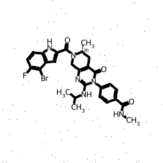 CNC(=O)c1ccc(-n2c(NC(C)C)nc3c(c2=O)C[C@@H](C)N(C(=O)c2cc4c(Br)c(F)ccc4[nH]2)C3)cc1